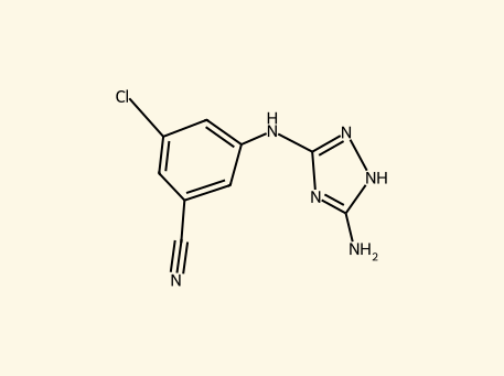 N#Cc1cc(Cl)cc(Nc2n[nH]c(N)n2)c1